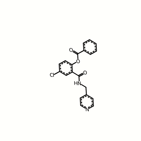 O=C(Oc1ccc(Cl)cc1C(=O)NCc1ccncc1)c1ccccc1